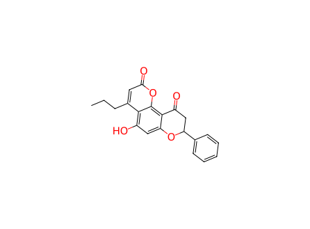 CCCc1cc(=O)oc2c3c(cc(O)c12)OC(c1ccccc1)CC3=O